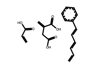 C=C(CC(=O)O)C(=O)O.C=CC(=O)O.C=CC=CC=Cc1ccccc1